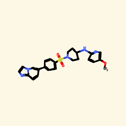 O=S(=O)(c1ccc(-c2ccc3nccn3c2)cc1)N1CCC(Nc2ccc(OC(F)(F)F)cn2)CC1